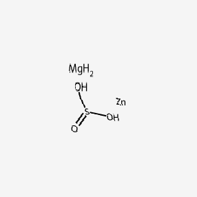 O=S(O)O.[MgH2].[Zn]